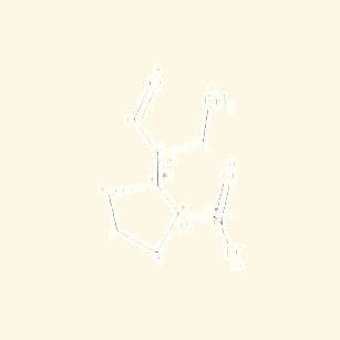 CC[C@@H](C=O)[C@H]1CCC[C@H]1[N+](=O)[O-]